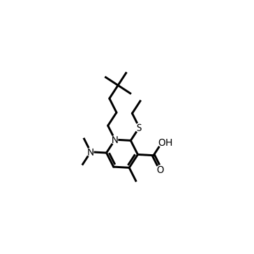 CCSC1C(C(=O)O)=C(C)C=C(N(C)C)N1CCCC(C)(C)C